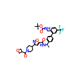 C[C@@H](NC(=O)c1cc(C2CCN(C(=O)C3COC3)CC2)no1)c1ccc(-c2cc(C(F)(F)F)ccc2CNC(=O)OC(C)(C)C)cc1